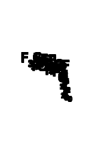 C=CCCCOCC(F)(F)OC(F)(F)C(F)(F)OC(F)(F)C(F)(F)F